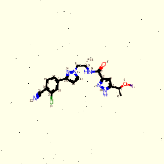 C[C@H](OI)c1cc(C(=O)N[C@@H](C)Cn2ccc(-c3ccc(C#N)c(Cl)c3)n2)n[nH]1